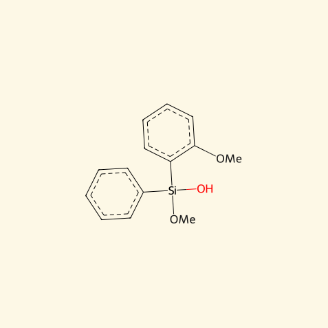 COc1ccccc1[Si](O)(OC)c1ccccc1